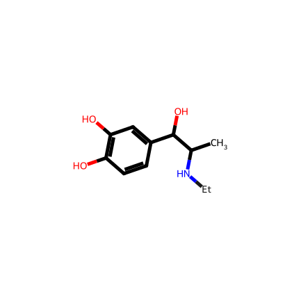 CCNC(C)C(O)c1ccc(O)c(O)c1